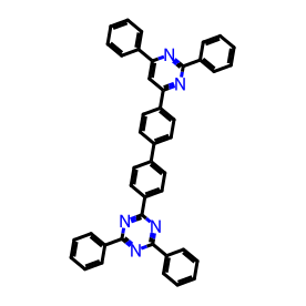 c1ccc(-c2cc(-c3ccc(-c4ccc(-c5nc(-c6ccccc6)nc(-c6ccccc6)n5)cc4)cc3)nc(-c3ccccc3)n2)cc1